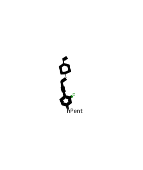 C=C[C@H]1CC[C@H](C=CC#Cc2ccc(CCCCC)cc2F)CC1